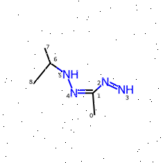 C/C(N=N)=N/NC(C)C